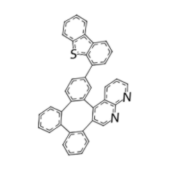 c1ccc2c(c1)-c1ccccc1-c1cnc3ncccc3c1-c1cc(-c3cccc4c3sc3ccccc34)ccc1-2